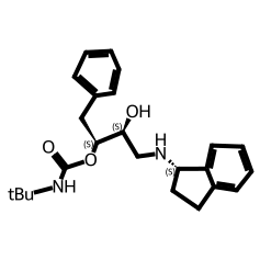 CC(C)(C)NC(=O)O[C@@H](Cc1ccccc1)[C@@H](O)CN[C@H]1CCc2ccccc21